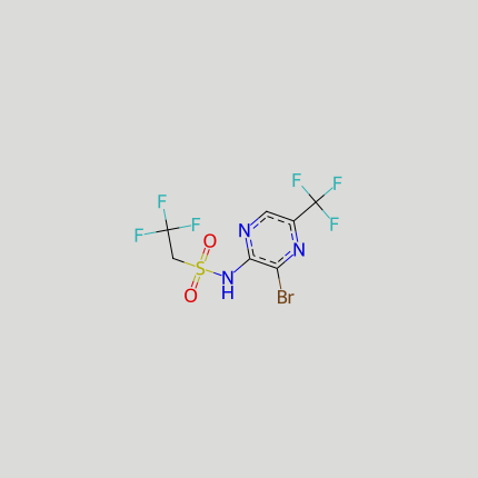 O=S(=O)(CC(F)(F)F)Nc1ncc(C(F)(F)F)nc1Br